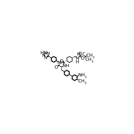 Cc1ccc(-c2ccc(C[C@H](NC(=O)[C@H]3CC[C@H](CNC(=O)OC(C)(C)C)CC3)C(=O)Nc3ccc(-c4nn[nH]n4)cc3)cc2)cc1N